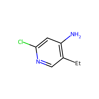 [CH2]Cc1cnc(Cl)cc1N